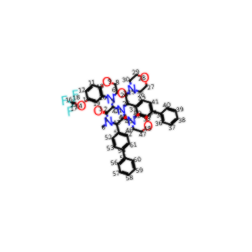 CN(C(=O)C(N1C(=O)COc2ccc(OC(F)(F)F)cc21)N(C)C(CN1CCOCC1)c1ccc(-c2ccccc2)cc1)C(CN1CCOCC1)c1ccc(-c2ccccc2)cc1